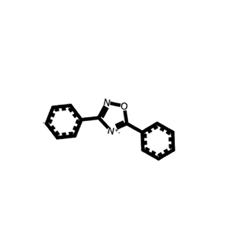 [c]1ccc(C2=NOC(c3ccccc3)=[N+]2)cc1